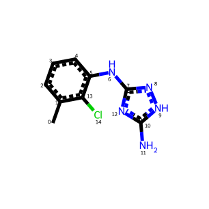 Cc1cccc(Nc2n[nH]c(N)n2)c1Cl